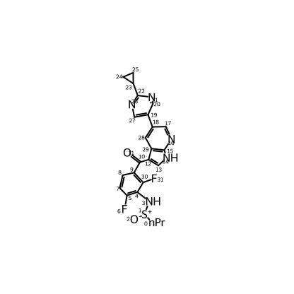 CCC[S+]([O-])Nc1c(F)ccc(C(=O)c2c[nH]c3ncc(-c4cnc(C5CC5)nc4)cc23)c1F